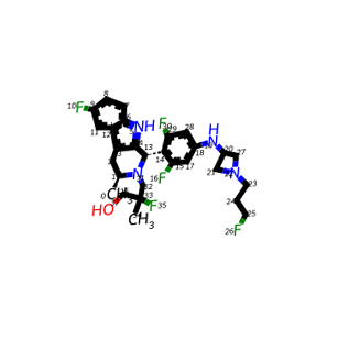 C[C@H]1Cc2c([nH]c3ccc(F)cc23)[C@H](c2c(F)cc(NC3CN(CCCF)C3)cc2F)N1CC(C)(F)CO